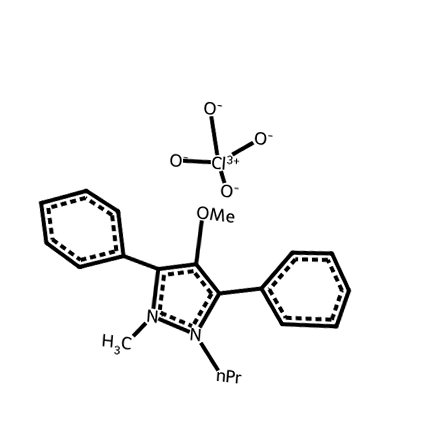 CCCn1c(-c2ccccc2)c(OC)c(-c2ccccc2)[n+]1C.[O-][Cl+3]([O-])([O-])[O-]